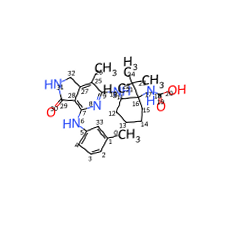 Cc1cccc(Nc2nc(NC3CCCCC3(NC(=O)O)C(C)(C)C)c(C)c3c2C(=O)NC3)c1